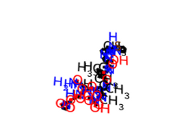 Cc1c(Nc2nc3ccccc3s2)nnc2c1CCCN2c1ccc(-c2cnn(CC34CC5(C)CC(C)(C3)CC(OCC[N+](C)(C)Cc3ccc(NC(=O)[C@H](CCCNC(N)=O)NC(=O)CNC(=O)CCOCCN6C(=O)C=CC6=O)cc3CN(C)C(=O)CN(CC(=O)O)CC(=O)O)(C5)C4)c2C)c(C(=O)O)n1